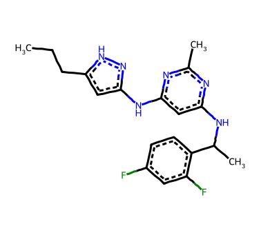 CCCc1cc(Nc2cc(NC(C)c3ccc(F)cc3F)nc(C)n2)n[nH]1